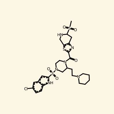 CS(=O)(=O)C1Cc2nc(C(=O)N3CCN(S(=O)(=O)c4cc5cc(Cl)ccc5[nH]4)CC3CCN3CCCCC3)sc2CN1